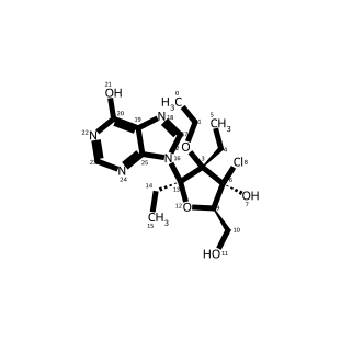 CCO[C@]1(CC)[C@@](O)(Cl)[C@@H](CO)O[C@@]1(CC)n1cnc2c(O)ncnc21